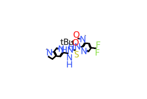 CN1CCc2cc(C(=N)NC(=S)Nc3ncc(C(F)F)cc3N(C)C(=O)OC(C)(C)C)ncc21